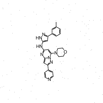 Cc1cccc(-c2cc(Nc3cc(N4CCOCC4)n4nc(-c5ccncc5)cc4n3)[nH]n2)c1